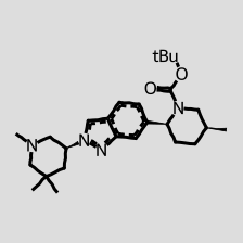 C[C@H]1CC[C@@H](c2ccc3cn([C@@H]4CN(C)CC(C)(C)C4)nc3c2)N(C(=O)OC(C)(C)C)C1